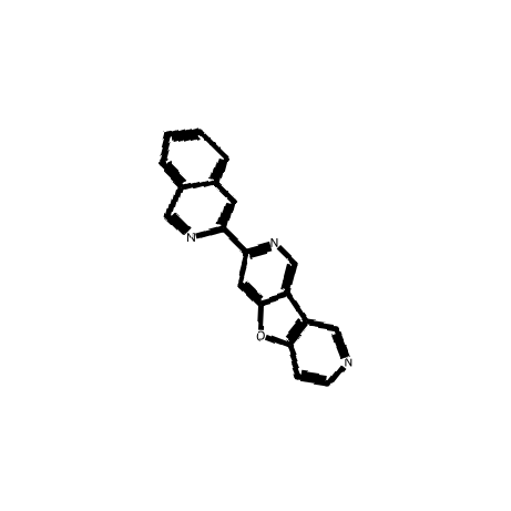 c1ccc2cc(-c3cc4oc5ccncc5c4cn3)ncc2c1